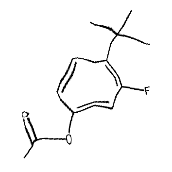 CC(=O)Oc1ccc(C(C)(C)C)c(F)c1